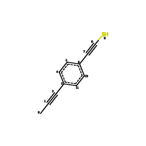 CC#Cc1ccc(C#CS)cc1